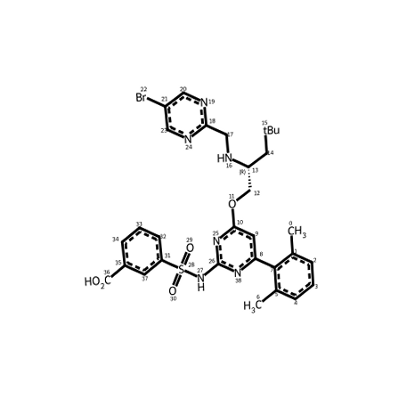 Cc1cccc(C)c1-c1cc(OC[C@@H](CC(C)(C)C)NCc2ncc(Br)cn2)nc(NS(=O)(=O)c2cccc(C(=O)O)c2)n1